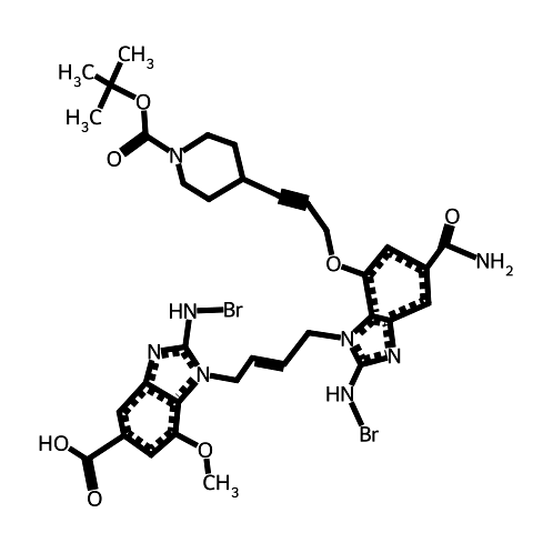 COc1cc(C(=O)O)cc2nc(NBr)n(CC=CCn3c(NBr)nc4cc(C(N)=O)cc(OCC#CC5CCN(C(=O)OC(C)(C)C)CC5)c43)c12